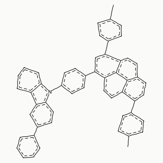 Cc1ccc(-c2ccc3ccc4c(-c5ccc(C)cc5)cc(-c5ccc(-n6c7ccccc7c7cc(-c8ccccc8)ccc76)cc5)c5ccc2c3c45)cc1